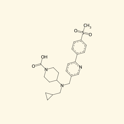 CS(=O)(=O)c1ccc(-c2ccc(CN(CC3CC3)C3CCN(C(=O)O)CC3)cn2)cc1